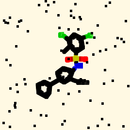 COc1cc(-c2ccccc2)ccc1NS(=O)(=O)c1cc(Cl)cc(Cl)c1C